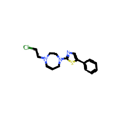 ClCCN1CCCN(c2ncc(-c3ccccc3)s2)CC1